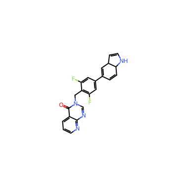 O=c1c2cccnc2ncn1Cc1c(F)cc(C2=CC3C=CNC3C=C2)cc1F